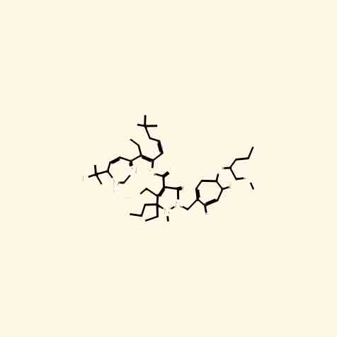 CCCC(COC)OC1CC=C(CN2C(=O)C(C(=O)NC(/C=C\CC(C)(C)C)=C(/CC)C3=NCNC(C(C)(C)F)C=C3)=C(CO)C(CC)(CCC)N2C)C(F)=CC1F